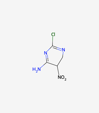 NC1=NC(Cl)=NCC1[N+](=O)[O-]